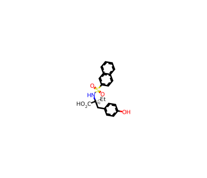 CC[C@@](Cc1ccc(O)cc1)(NS(=O)(=O)c1ccc2ccccc2c1)C(=O)O